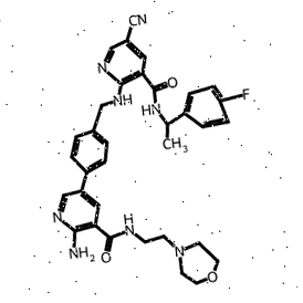 CC(NC(=O)c1cc(C#N)cnc1NCc1ccc(-c2cnc(N)c(C(=O)NCCN3CCOCC3)c2)cc1)c1ccc(F)cc1